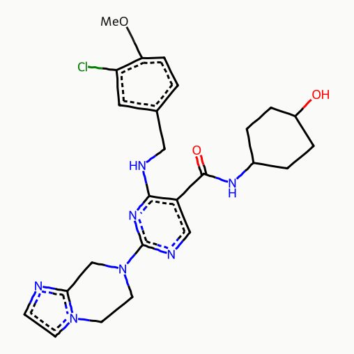 COc1ccc(CNc2nc(N3CCn4ccnc4C3)ncc2C(=O)NC2CCC(O)CC2)cc1Cl